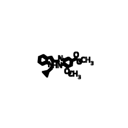 COC(=O)c1cc(OC)c2[nH]c(-c3cc4ccccc4n3CC3CC3)nc2c1